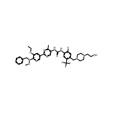 CCOc1cc(-c2ncc(NC(=O)Nc3cc(C(F)(F)F)c(CN4CCN(CCO)CC4)cc3F)c(C)n2)cnc1B(Cc1ccccc1)OC